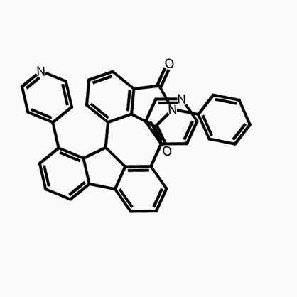 O=C1c2cccc(C3c4c(-c5ccncc5)cccc4-c4cccc(-c5ccncc5)c43)c2C(=O)N1c1ccccc1